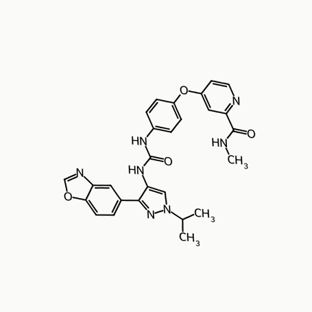 CNC(=O)c1cc(Oc2ccc(NC(=O)Nc3cn(C(C)C)nc3-c3ccc4ocnc4c3)cc2)ccn1